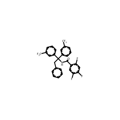 O=C(NC(Cc1ccccc1)(c1cccc(C(F)(F)F)c1)c1cccc(C(F)(F)F)c1)c1cc(F)c(F)cc1F